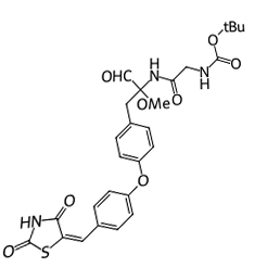 COC(C=O)(Cc1ccc(Oc2ccc(C=C3SC(=O)NC3=O)cc2)cc1)NC(=O)CNC(=O)OC(C)(C)C